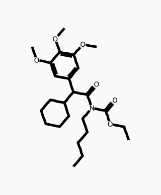 CCCCCN(C(=O)OCC)C(=O)C(c1cc(OC)c(OC)c(OC)c1)C1CCCCC1